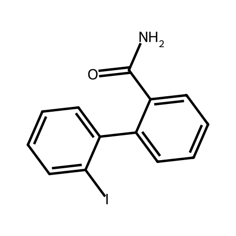 NC(=O)c1ccccc1-c1ccccc1I